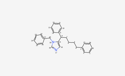 c1ccc(CCCCC(c2ccccc2)c2cncn2Cc2ccccc2)cc1